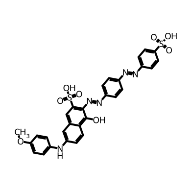 COc1ccc(Nc2ccc3c(O)c(N=Nc4ccc(N=Nc5ccc(S(=O)(=O)O)cc5)cc4)c(S(=O)(=O)O)cc3c2)cc1